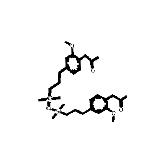 COc1cc(CCC[Si](C)(C)O[Si](C)(C)CCCc2ccc(CC(C)=O)c(OC)c2)ccc1CC(C)=O